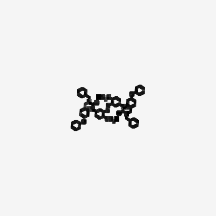 O=C(O)c1ccc(NC(=O)N(Cc2ccccc2)Cc2ccc(Oc3ccccc3)cc2)cc1SSc1cc(NC(=O)N(Cc2ccccc2)Cc2ccc(Oc3ccccc3)cc2)ccc1C(=O)O